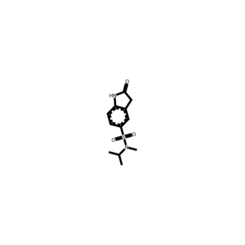 CC(C)N(C)S(=O)(=O)c1ccc2c(c1)CC(=O)N2